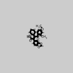 COc1ccc(C(=O)C(=C(C(=O)[O-])c2ccc3c(c2)OCO3)C2CCCCC2)c(C)c1.[Na+]